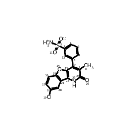 Cc1c(-c2cccc(S(N)(=O)=O)c2)c2oc3ccc(Cl)cc3c2[nH]c1=O